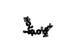 CC[C@@H](Cn1c(C#N)cc2c(C)c(CN3CCC(Nc4nc(NC)nc5sc(CC(F)(F)F)cc45)CC3)ccc21)N1CCN(S(=O)(=O)NC)CC1